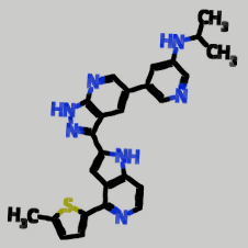 Cc1ccc(-c2nccc3[nH]c(-c4n[nH]c5ncc(-c6cncc(NC(C)C)c6)cc45)cc23)s1